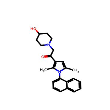 Cc1cc(C(=O)CN2CCC(O)CC2)c(C)n1-c1cccc2ccccc12